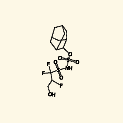 O=S(=O)(NS(=O)(=O)C(F)(F)C(F)CO)OC1C2CC3CC(C2)CC1C3